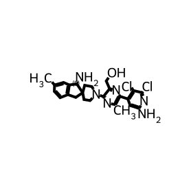 Cc1ccc2c(c1)[C@@H](N)C1(CCN(c3nc(C)c(-c4cc(N)nc(Cl)c4Cl)nc3CO)CC1)C2